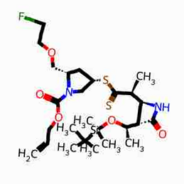 C=CCOC(=O)N1C[C@@H](SC(=S)[C@@H](C)[C@H]2NC(=O)[C@@H]2[C@@H](C)O[Si](C)(C)C(C)(C)C)C[C@H]1COCCF